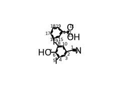 N#Cc1cc(I)c(O)c(I)c1.O=C(O)c1ccccc1